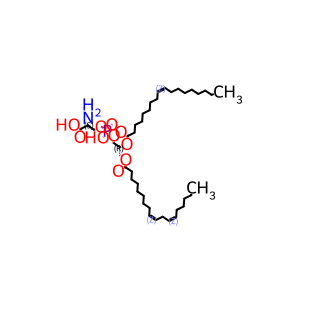 CCCCC/C=C\C/C=C\CCCCCCCC(=O)OC[C@H](COP(=O)(O)OC[C@H](N)C(=O)O)OC(=O)CCCCCCC/C=C\CCCCCCCC